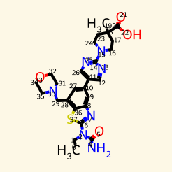 CCN(C(N)=O)c1nc2cc(-c3cnc(N4CCC(C)(C(=O)O)CC4)nc3)cc(CN3CCOCC3)c2s1